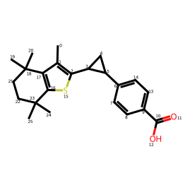 Cc1c(C2CC2c2ccc(C(=O)O)cc2)sc2c1C(C)(C)CCC2(C)C